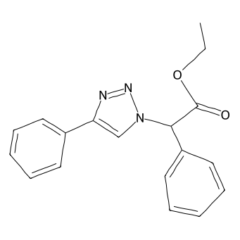 CCOC(=O)C(c1ccccc1)n1cc(-c2ccccc2)nn1